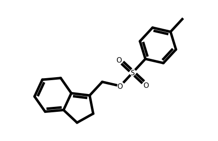 Cc1ccc(S(=O)(=O)OCC2=C3CC=CC=C3CC2)cc1